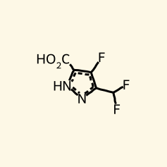 O=C(O)c1[nH]nc(C(F)F)c1F